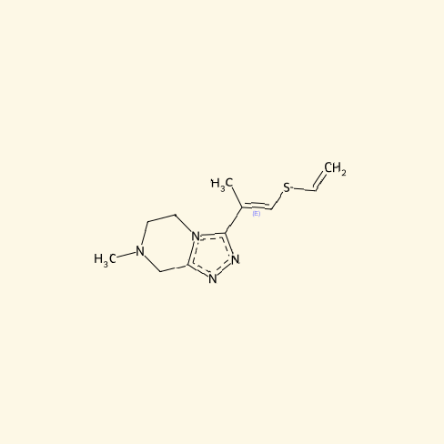 C=CS/C=C(\C)c1nnc2n1CCN(C)C2